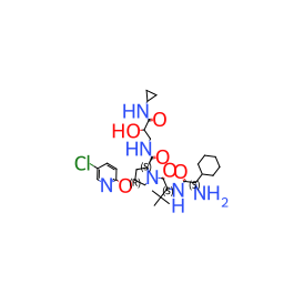 CC(C)(C)[C@H](NC(=O)[C@@H](N)C1CCCCC1)C(=O)N1C[C@H](Oc2ccc(Cl)cn2)C[C@H]1C(=O)NCC(O)C(=O)NC1CC1